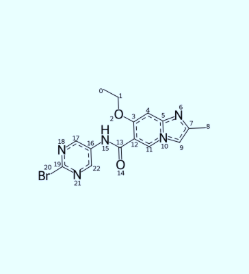 CCOc1cc2nc(C)cn2cc1C(=O)Nc1cnc(Br)nc1